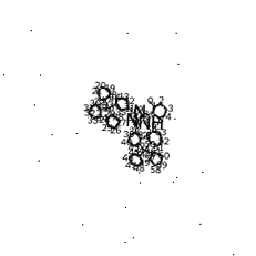 Cc1cccc(C)c1C1N=C(c2cccc(C(c3ccccc3)(c3ccccc3)c3ccccc3)c2)N=C(c2cccc(C(c3ccccc3)(c3ccccc3)c3ccccc3)c2)N1